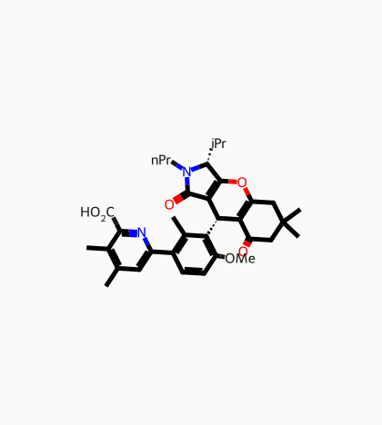 CCCN1C(=O)C2=C(OC3=C(C(=O)CC(C)(C)C3)[C@@H]2c2c(OC)ccc(-c3cc(C)c(C)c(C(=O)O)n3)c2C)[C@H]1C(C)C